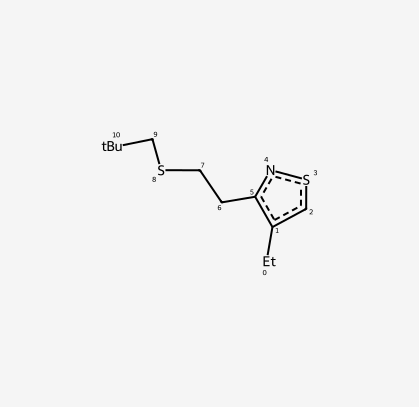 CCc1csnc1CCSCC(C)(C)C